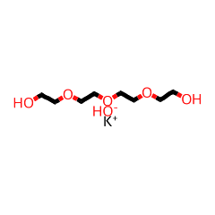 OCCOCCOCCOCCO.[K+].[OH-]